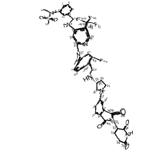 CN(c1cccc(CNc2cc(Nc3ccc(CN[C@@H]4CCN(c5ccc6c(c5)C(=O)N(C5CCC(=O)NC5=O)C6=O)C4)c(F)c3)ncc2C(F)(F)F)c1)S(C)(=O)=O